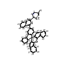 C=C(C)/C=C\C(CC)c1nc(-c2ccc3c(c2)-c2ccccc2C32c3ccc4ccccc4c3Sc3c2ccc2ccccc32)c2ccccc2n1